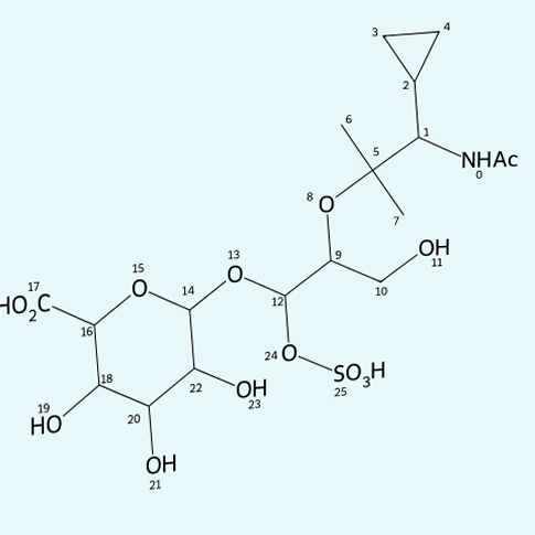 CC(=O)NC(C1CC1)C(C)(C)OC(CO)C(OC1OC(C(=O)O)C(O)C(O)C1O)OS(=O)(=O)O